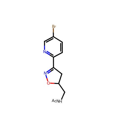 CC(=O)NCC1CC(c2ccc(Br)cn2)=NO1